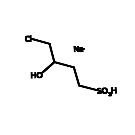 O=S(=O)(O)CCC(O)CCl.[Na]